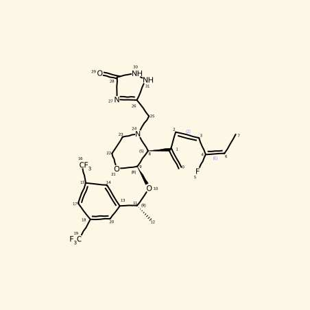 C=C(/C=C\C(F)=C/C)[C@H]1[C@@H](O[C@H](C)c2cc(C(F)(F)F)cc(C(F)(F)F)c2)OCCN1Cc1nc(=O)[nH][nH]1